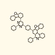 c1ccc(-c2nc(-c3ccc(-c4cc5c(-c6ccccc6)nc6ccccc6c5c5c4oc4ccccc45)cc3)cc(-c3cccc4oc5ccccc5c34)n2)cc1